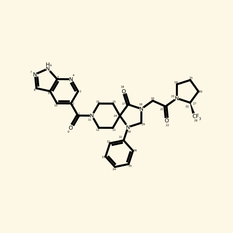 O=C(c1cnc2[nH]ncc2c1)N1CCC2(CC1)C(=O)N(CC(=O)N1CCC[C@H]1C(F)(F)F)CN2c1ccccc1